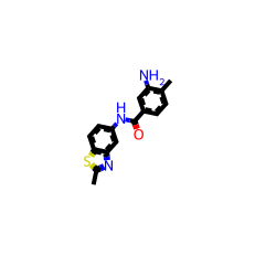 Cc1nc2cc(NC(=O)c3ccc(C)c(N)c3)ccc2s1